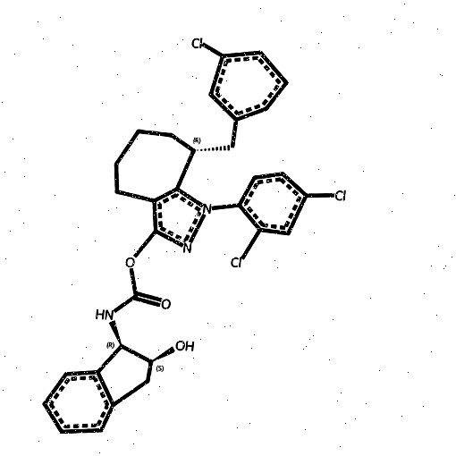 O=C(N[C@@H]1c2ccccc2C[C@@H]1O)Oc1nn(-c2ccc(Cl)cc2Cl)c2c1CCCC[C@@H]2Cc1cccc(Cl)c1